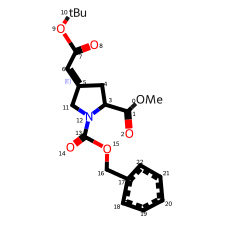 COC(=O)C1C/C(=C\C(=O)OC(C)(C)C)CN1C(=O)OCc1ccccc1